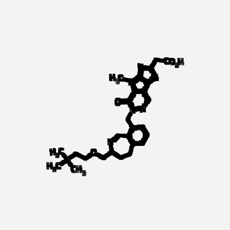 Cn1c2nc(CC(=O)O)sc2c2cnn(Cc3cccc4c3C=NC(COCC[Si](C)(C)C)CC4)c(=O)c21